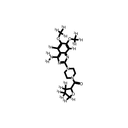 [2H]c1c(OC([2H])([2H])[2H])c(OC([2H])([2H])[2H])c([2H])c2c(N([2H])[2H])nc(N3CCN(C(=O)C4OC([2H])([2H])C([2H])([2H])C4([2H])[2H])CC3)nc12